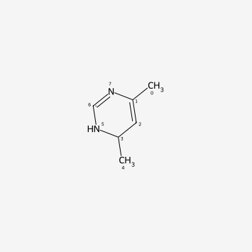 CC1=CC(C)N[C]=N1